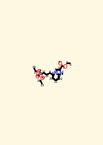 CCOC(=O)c1cn2c(CCCP(=O)(OCC)OCC)cccc2n1